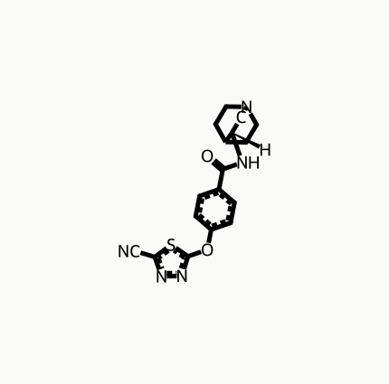 N#Cc1nnc(Oc2ccc(C(=O)N[C@H]3CN4CCC3CC4)cc2)s1